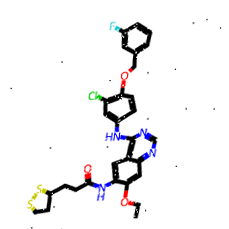 CCOc1cc2ncnc(Nc3ccc(OCc4cccc(F)c4)c(Cl)c3)c2cc1NC(=O)CCC1CCSS1